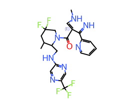 CN/C=C(\C(=N)c1ccccn1)C(=O)N1CC(F)(F)CC(C)C1CNc1cnc(C(F)(F)F)cn1